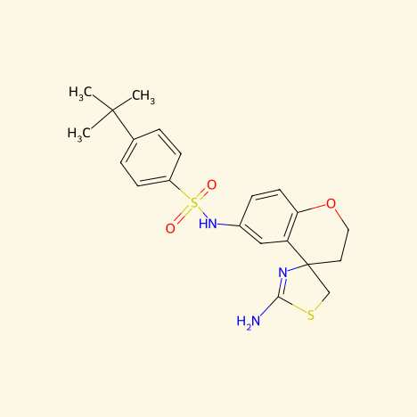 CC(C)(C)c1ccc(S(=O)(=O)Nc2ccc3c(c2)C2(CCO3)CSC(N)=N2)cc1